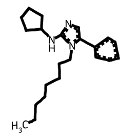 CCCCCCCCn1c(-c2ccccc2)cnc1NC1CCCC1